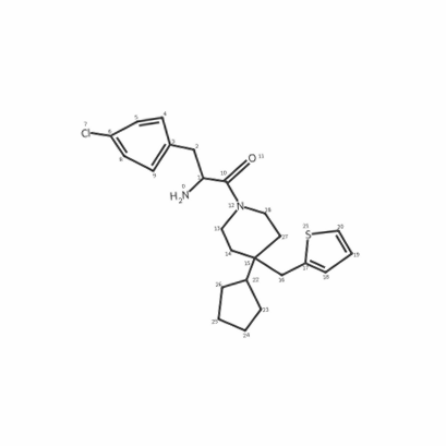 NC(Cc1ccc(Cl)cc1)C(=O)N1CCC(Cc2cccs2)(C2CCCC2)CC1